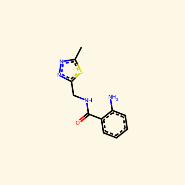 Cc1nnc(CNC(=O)c2ccccc2N)s1